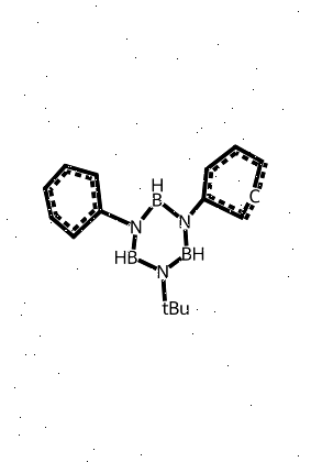 CC(C)(C)N1BN(c2ccccc2)BN(c2ccccc2)B1